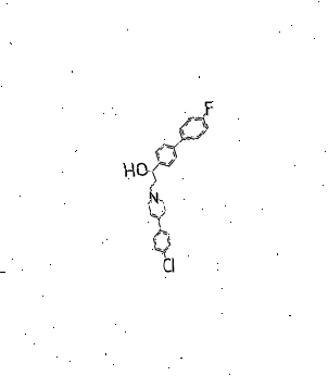 OC(CCN1CC=C(c2ccc(Cl)cc2)CC1)c1ccc(-c2ccc(F)cc2)cc1